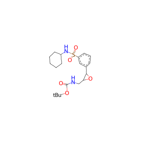 CC(C)(C)OC(=O)NCC1OC1c1cccc(S(=O)(=O)NC2CCCCC2)c1